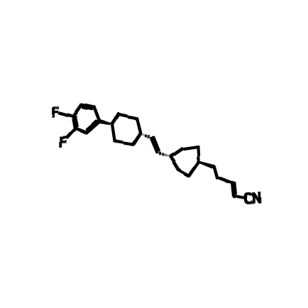 N#CC=CCC[C@H]1CC[C@H](C=C[C@H]2CC[C@H](c3ccc(F)c(F)c3)CC2)CC1